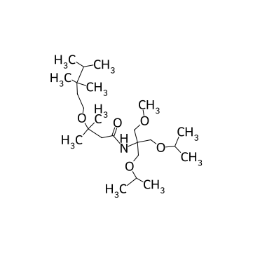 COCC(COC(C)C)(COC(C)C)NC(=O)CC(C)(C)OCCC(C)(C)C(C)C